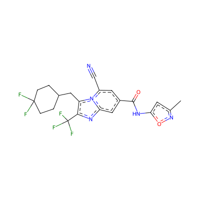 Cc1cc(NC(=O)c2cc(C#N)n3c(CC4CCC(F)(F)CC4)c(C(F)(F)F)nc3c2)on1